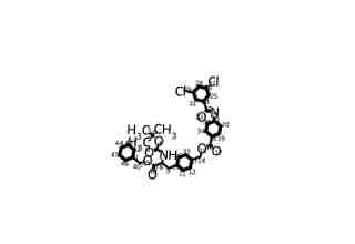 CC(C)(C)OC(=O)NC(Cc1ccc(COC(=O)c2ccc3nc(-c4cc(Cl)cc(Cl)c4)oc3c2)cc1)C(=O)OCc1ccccc1